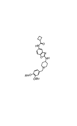 COc1ccc(CN2CCC(Nc3nc4cc(NC(=O)C5CCC5)ccc4o3)CC2)cc1OCC(C)C